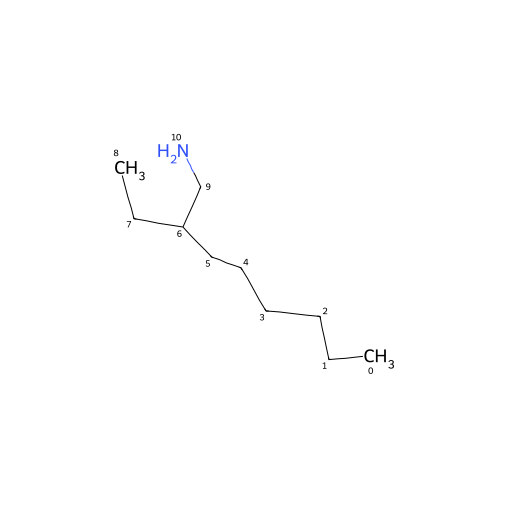 CCCCCCC(CC)CN